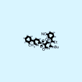 CCCCc1nc(=O)c(S(=O)(=O)c2ccc(-c3ccccc3C)cn2)c(O)n1C(CC)c1cccc(C#N)c1